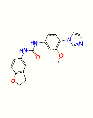 COc1cc(NC(=O)Nc2ccc3c(c2)CCO3)ccc1-n1ccnc1